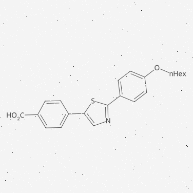 CCCCCCOc1ccc(-c2ncc(-c3ccc(C(=O)O)cc3)s2)cc1